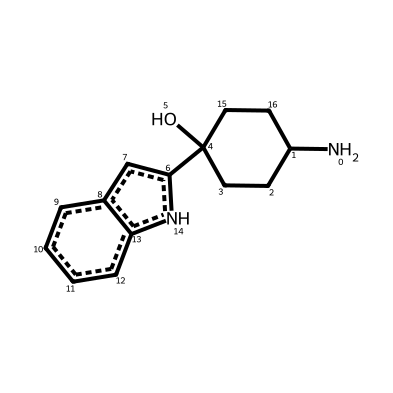 NC1CCC(O)(c2cc3ccccc3[nH]2)CC1